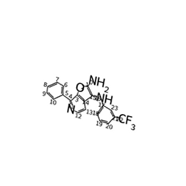 Nc1oc2c(-c3ccccc3)nccc2c1Nc1cccc(C(F)(F)F)c1